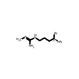 CCC[C@@H](CCCN/C(N)=N/C)C(C)C